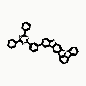 c1ccc(-c2nc(-c3ccccc3)nc(-c3cccc(-c4ccc5sc6cc7c(cc6c5c4)c4cccc5c6ccccc6n7c54)c3)n2)cc1